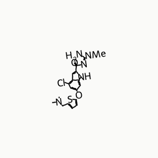 CNC(N)=NC(=O)c1cc2c(Cl)cc(Oc3ccc(CN(C)C)s3)cc2[nH]1